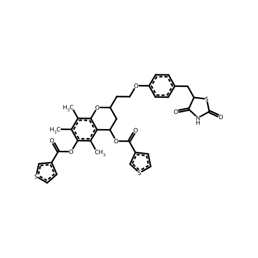 Cc1c(C)c2c(c(C)c1OC(=O)c1ccsc1)C(OC(=O)c1ccsc1)CC(CCOc1ccc(CC3SC(=O)NC3=O)cc1)O2